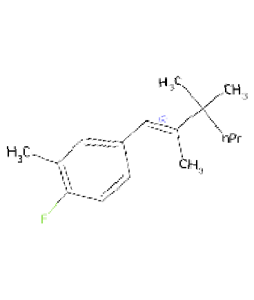 CCCC(C)(C)/C(C)=C/c1ccc(F)c(C)c1